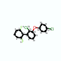 Fc1cccc(F)c1-c1cc[c]c(Oc2ccc(Cl)cc2)c1Cl